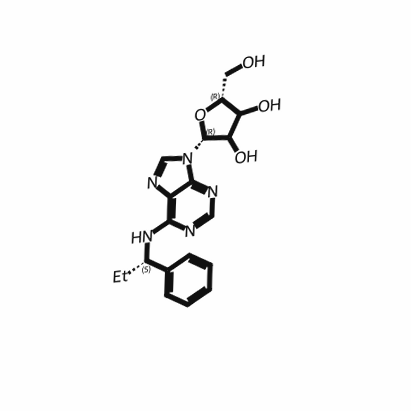 CC[C@H](Nc1ncnc2c1ncn2[C@@H]1O[C@H](CO)C(O)C1O)c1ccccc1